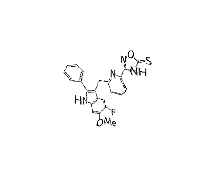 COc1cc2[nH]c(-c3ccccc3)c(Cc3cccc(-c4noc(=S)[nH]4)n3)c2cc1F